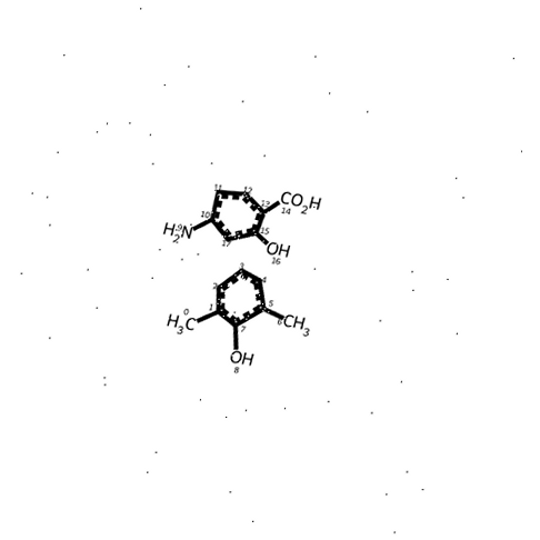 Cc1cccc(C)c1O.Nc1ccc(C(=O)O)c(O)c1